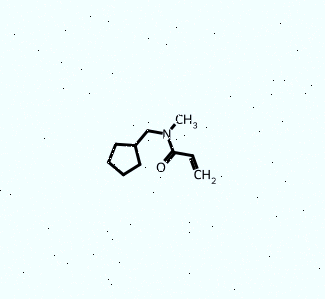 C=CC(=O)N(C)CC1CCCC1